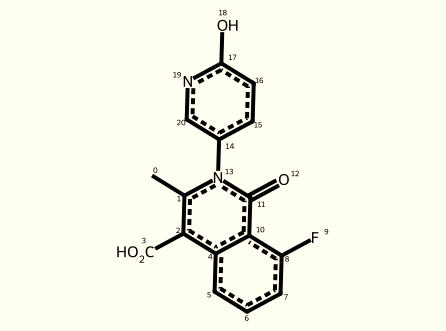 Cc1c(C(=O)O)c2cccc(F)c2c(=O)n1-c1ccc(O)nc1